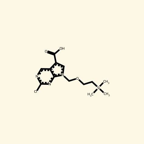 C[Si](C)(C)CCOCn1cc(C(=O)O)c2cnc(Cl)nc21